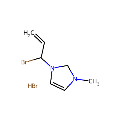 Br.C=CC(Br)N1C=CN(C)C1